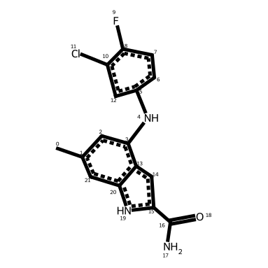 Cc1cc(Nc2ccc(F)c(Cl)c2)c2cc(C(N)=O)[nH]c2c1